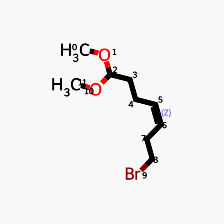 COC(CC/C=C\CCBr)OC